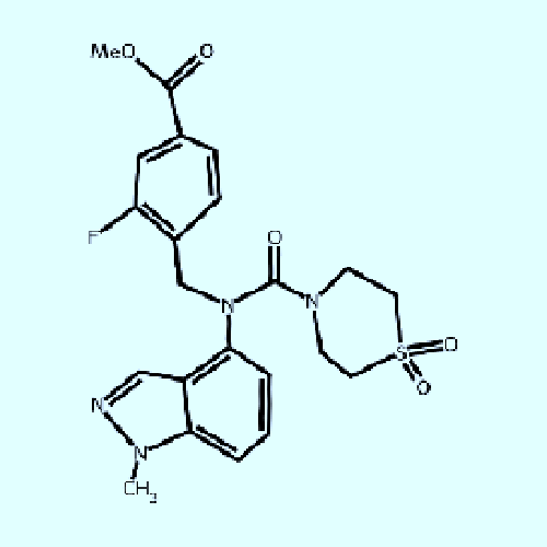 COC(=O)c1ccc(CN(C(=O)N2CCS(=O)(=O)CC2)c2cccc3c2cnn3C)c(F)c1